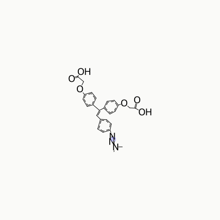 CN(C)/N=N/c1ccc(C=C(c2ccc(OCC(=O)O)cc2)c2ccc(OCC(=O)O)cc2)cc1